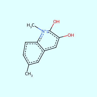 Cc1ccc2c(c1)cc(O)c(O)[n+]2C